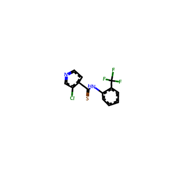 FC(F)(F)c1ccccc1NC(=S)c1ccncc1Cl